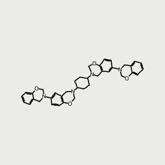 c1ccc2c(c1)CN(c1ccc3c(c1)CN(C1CCC(N4COc5ccc(N6COc7ccccc7C6)cc5C4)CC1)CO3)CO2